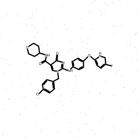 O=C(NC1CCOCC1)c1cn(Cc2ccc(Cl)cc2)c(Nc2ccc(OC3=CC=C(F)CN3)cc2)nc1=O